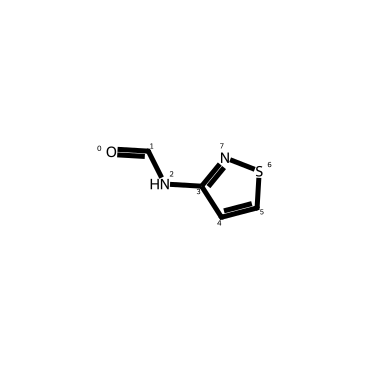 O=CNc1ccsn1